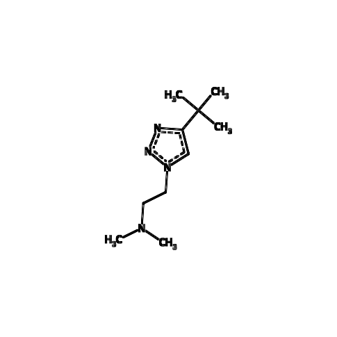 CN(C)CCn1cc(C(C)(C)C)nn1